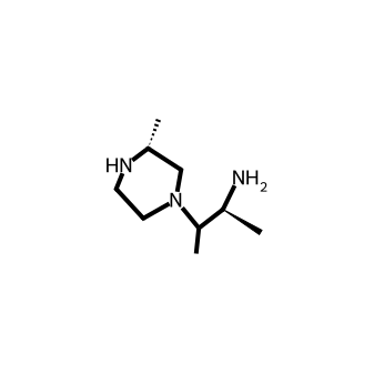 CC([C@H](C)N)N1CCN[C@H](C)C1